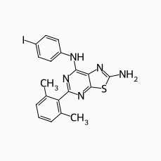 Cc1cccc(C)c1-c1nc(Nc2ccc(I)cc2)c2nc(N)sc2n1